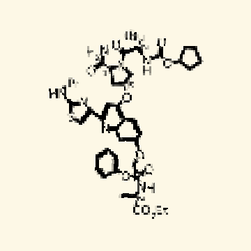 CCOC(=O)[C@H](C)NP(=O)(COc1ccc2c(O[C@@H]3C[C@@H](C(N)=O)N(C(=O)[C@@H](NC(=O)OC4CCCC4)C(C)(C)C)C3)cc(-c3csc(NC(C)C)n3)nc2c1)Oc1ccccc1